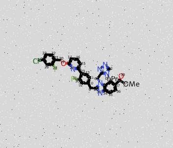 CCCn1cnnc1Cn1c(Cc2ccc(-c3cccc(OCc4ccc(Cl)cc4F)n3)c(F)c2)nc2ccc(C(=O)OC)cc21